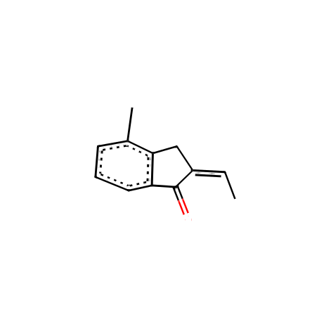 C/C=C1/Cc2c(C)cccc2C1=O